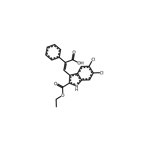 CCOC(=O)c1[nH]c2cc(Cl)c(Cl)cc2c1C=C(C(=O)O)c1ccccc1